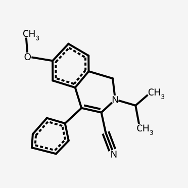 COc1ccc2c(c1)C(c1ccccc1)=C(C#N)N(C(C)C)C2